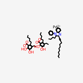 CCCCCCCCCC#CC(=Nc1ccccc1)C(CCCC)=Nc1ccccc1.CCCCCc1c(CC)cc(O)c(O)c1C(=O)[O-].CCCCCc1c(CC)cc(O)c(O)c1C(=O)[O-].[Pd+2]